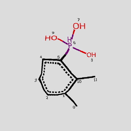 Cc1cccc([PH](O)(O)O)c1C